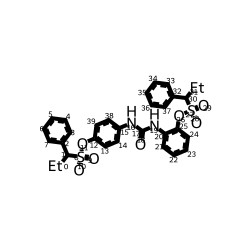 CCC(c1ccccc1)S(=O)(=O)Oc1ccc(NC(=O)Nc2ccccc2OS(=O)(=O)C(CC)c2ccccc2)cc1